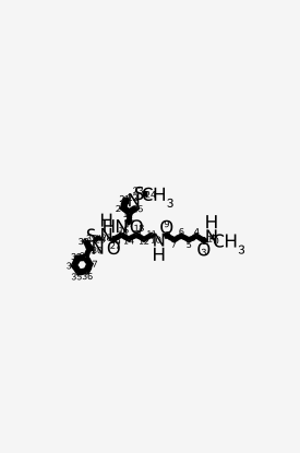 CNC(=O)CCCCC(=O)NCCCCC(NC(=O)c1ccn(SC)c1)C(=O)Nc1nc(-c2ccccc2)cs1